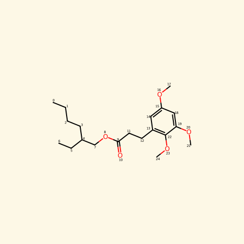 CCCCC(CC)COC(=O)CCc1cc(OC)cc(OC)c1OC